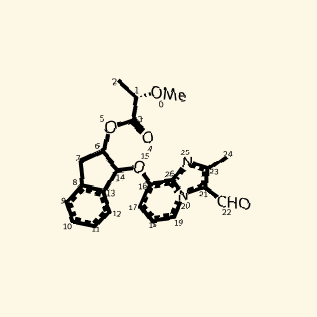 CO[C@@H](C)C(=O)OC1Cc2ccccc2C1Oc1cccn2c(C=O)c(C)nc12